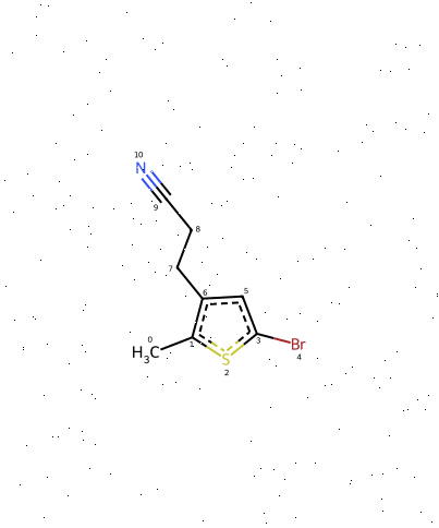 Cc1sc(Br)cc1CCC#N